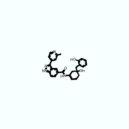 Cc1cc(-c2n[nH]c3ccc(C(=O)NC4CCCC(O)(Cc5ccccc5O)C4)cc23)ccn1